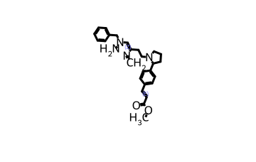 C=N/C(=C\N(N)Cc1ccccc1)CCN1CCCC1c1ccc(/C=C/C(=O)OC)cc1